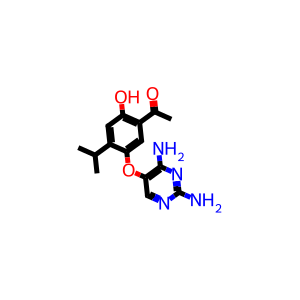 CC(=O)c1cc(Oc2cnc(N)nc2N)c(C(C)C)cc1O